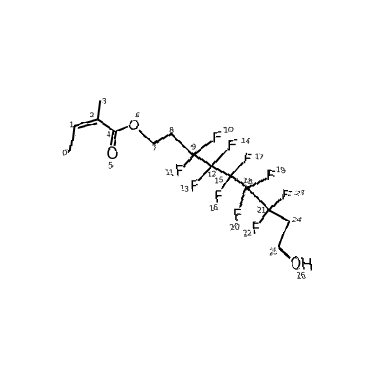 CC=C(C)C(=O)OCCC(F)(F)C(F)(F)C(F)(F)C(F)(F)C(F)(F)CCO